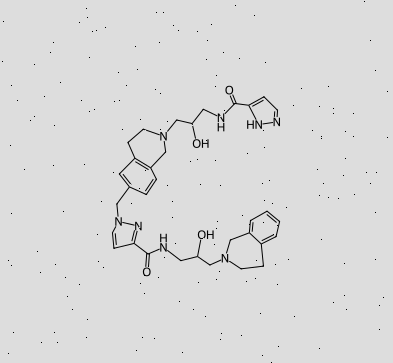 O=C(NCC(O)CN1CCc2ccccc2C1)c1ccn(Cc2ccc3c(c2)CCN(CC(O)CNC(=O)c2ccn[nH]2)C3)n1